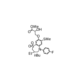 CCCC[C@@]1(CC)CN(c2ccc(F)cc2)c2cc(SC)c(OC[C@H](O)C(=O)OC)cc2S(=O)(=O)C1